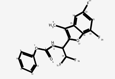 Cc1c(C(NC(=O)Oc2ccccc2)C(F)F)oc2c(F)cc(F)cc12